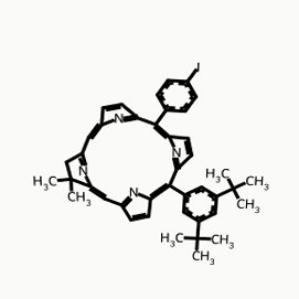 CC1(C)CC2=NC1=CC1=NC(=C(c3cc(C(C)(C)C)cc(C(C)(C)C)c3)C3=NC(=C(c4ccc(I)cc4)C4=NC(=C2)C=C4)C=C3)C=C1